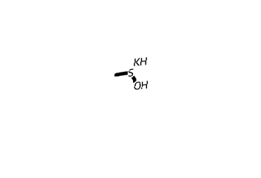 CSO.[KH]